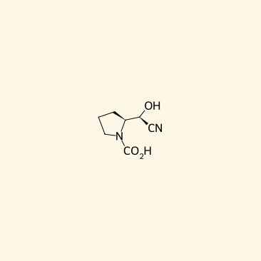 N#C[C@H](O)[C@@H]1CCCN1C(=O)O